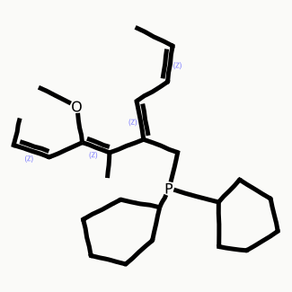 C\C=C/C=C(CP(C1CCCCC1)C1CCCCC1)/C(C)=C(/C=C\C)OC